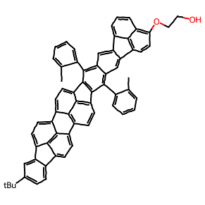 Cc1ccccc1-c1c2cc3c(cc2c(-c2ccccc2C)c2c4ccc5c6ccc7c8c(ccc(c9ccc(c12)c4c95)c86)-c1cc(C(C)(C)C)ccc1-7)c1ccc(OCCO)c2cccc3c21